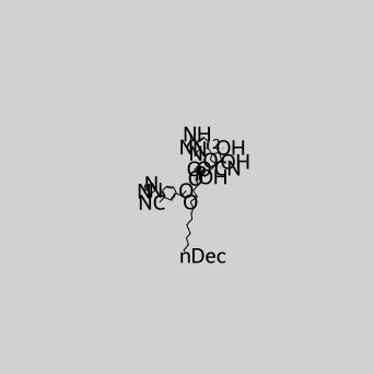 CCCCCCCCCCCCCCCCCCOC[C@H](COP(=O)(O)OC[C@@]1(C#N)O[C@@H](c2ccc3c(N)ncnn23)[C@H](O)[C@@H]1O)OCc1ccc(-n2cncn2)c(C#N)c1